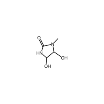 CN1C(=O)NC(O)C1O